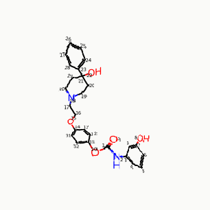 O=C(Nc1cccc(O)c1)Oc1ccc(OCCN2CCC(O)(c3ccccc3)CC2)cc1